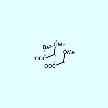 COCC(=O)[O-].COCC(=O)[O-].[Ba+2]